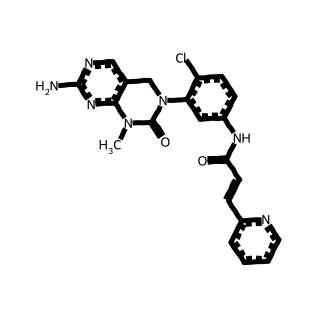 CN1C(=O)N(c2cc(NC(=O)C=Cc3ccccn3)ccc2Cl)Cc2cnc(N)nc21